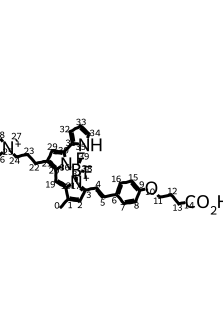 CC1=CC(C=Cc2ccc(OCCCC(=O)O)cc2)=[N+]2C1=Cc1c(CCC[N+](C)(C)C)cc(-c3ccc[nH]3)n1[B-]2(F)F